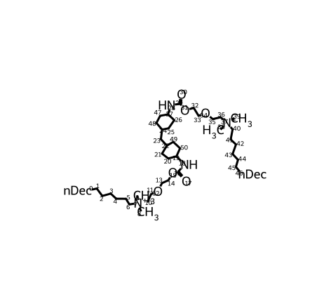 CCCCCCCCCCCCCCCC[N+](C)(C)CCOCCOC(=O)NC1CCC(CC2CCC(NC(=O)OCCOCC[N+](C)(C)CCCCCCCCCCCCCCCC)CC2)CC1